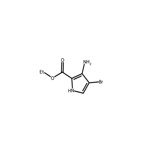 CCOC(=O)c1[nH]cc(Br)c1N